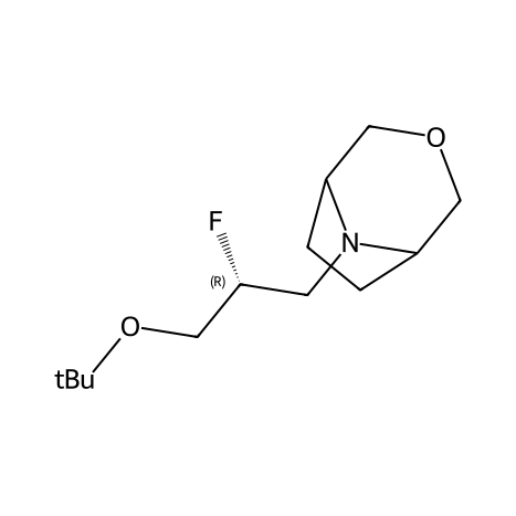 CC(C)(C)OC[C@H](F)CN1C2CCC1COC2